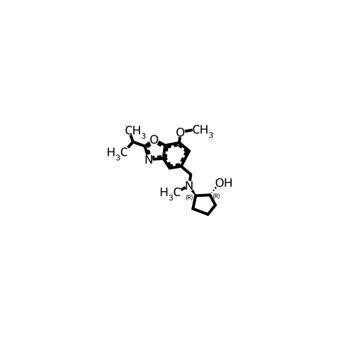 COc1cc(CN(C)[C@@H]2CCC[C@H]2O)cc2nc(C(C)C)oc12